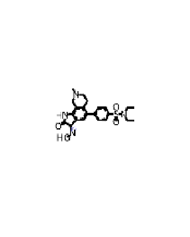 CCN(CC)S(=O)(=O)c1ccc(-c2cc3c(c4c2CCN(C)C4)NC(=O)/C3=N\O)cc1